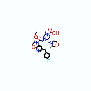 CCOC[C@H]1COc2ncc(Cc3ccc(F)cc3)cc2N1C(=O)CN1C[C@@H](C)N(C(=O)O)C[C@@H]1CN1[C@H](C)COC[C@H]1C